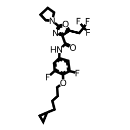 O=C(Nc1cc(F)c(OCCCCC2CC2)c(F)c1)c1nc(N2CCCC2)oc1CC(F)(F)F